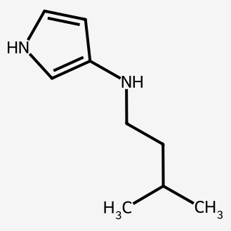 CC(C)CCNc1cc[nH]c1